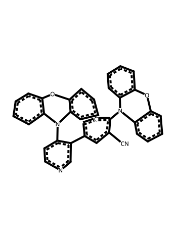 N#Cc1cc(-c2cnccc2N2c3ccccc3Oc3ccccc32)ccc1N1c2ccccc2Oc2ccccc21